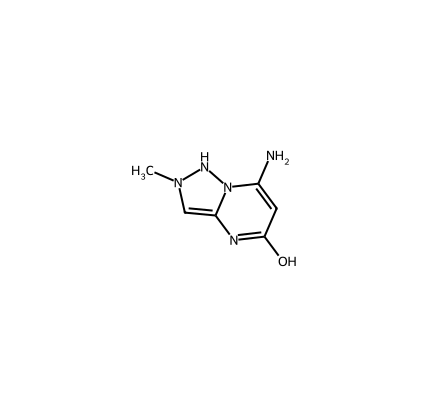 CN1C=C2N=C(O)C=C(N)N2N1